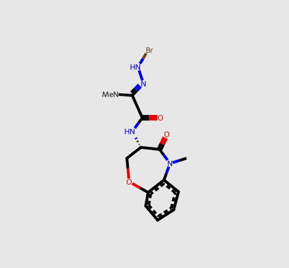 CN/C(=N\NBr)C(=O)N[C@H]1COc2ccccc2N(C)C1=O